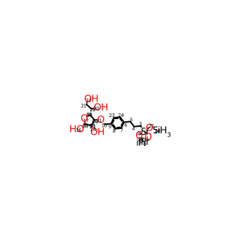 CC(C)O[Si](CCCc1ccc(CO[C@@H]2[C@@H](O)[C@@H](O)O[C@@H]2C(O)CO)cc1)(O[SiH3])OC(C)C